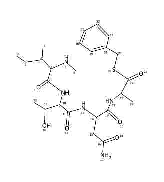 CCC(C)C(NC)C(=O)NC(C(=O)NC(CC(N)=O)C(=O)NC(C)C(=O)SCc1ccccc1)C(C)O